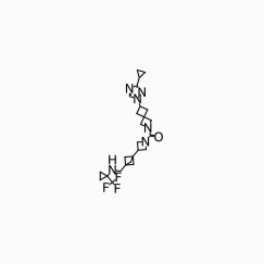 O=C(N1CC(C23CC(CNC4(C(F)(F)F)CC4)(C2)C3)C1)N1CC2(CC(n3cnc(C4CC4)n3)C2)C1